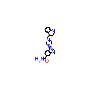 NC(=O)c1ccc2c(c1)ncn2N1CCN(Cc2ccnc3ccccc23)CC1